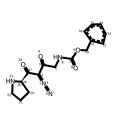 [N-]=[N+]=C(C(=O)CNC(=O)OCc1ccccc1)C(=O)[C@H]1CCCN1